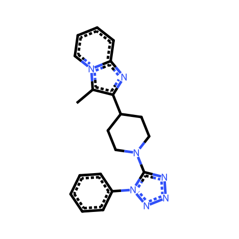 Cc1c(C2CCN(c3nnnn3-c3ccccc3)CC2)nc2ccccn12